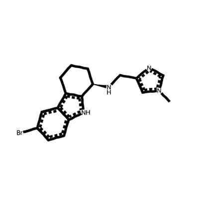 Cn1cnc(CN[C@@H]2CCCc3c2[nH]c2ccc(Br)cc32)c1